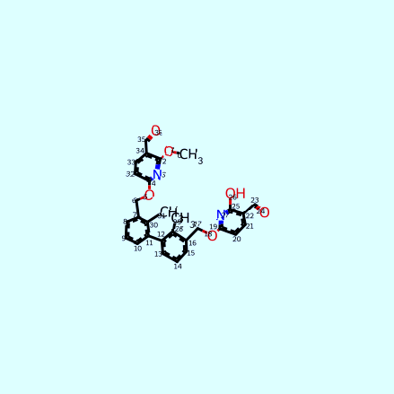 COc1nc(OCc2cccc(-c3cccc(COc4ccc(C=O)c(O)n4)c3C)c2C)ccc1C=O